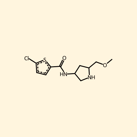 COCC1CC(NC(=O)c2ccc(Cl)s2)CN1